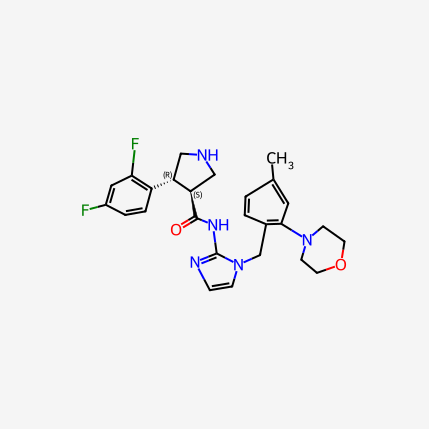 Cc1ccc(Cn2ccnc2NC(=O)[C@@H]2CNC[C@H]2c2ccc(F)cc2F)c(N2CCOCC2)c1